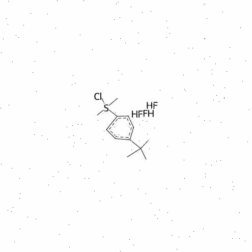 CC(C)(C)c1ccc(S(C)(C)Cl)cc1.F.F.F